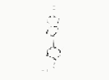 CSc1ccc(-c2cn3nc(Cl)sc3n2)c(F)c1